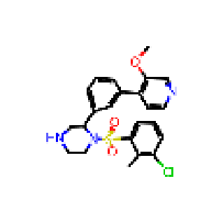 COc1cnccc1-c1cccc(C2CNCCN2S(=O)(=O)c2cccc(Cl)c2C)c1